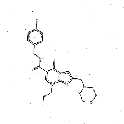 CCCn1cc(C(=O)NCc2ccc(Cl)cc2)c(=S)c2cc(CN3CCOCC3)sc21